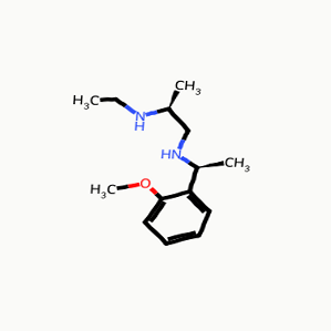 CCN[C@@H](C)CN[C@@H](C)c1ccccc1OC